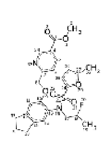 COC(=O)c1ccc(COc2cc3c(cc2N(CC(C)F)S(=O)(=O)c2ccc(C)o2)CCC3)nc1